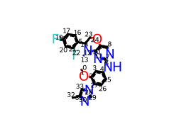 COc1cc(Nc2ncc3c(n2)N(C)C(c2ccc(F)cc2F)CO3)ccc1-n1cnc(C)c1